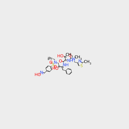 Cc1nc(CN(C)C(=O)N[C@H](C(=O)N[C@@H](Cc2ccccc2)[C@H](O)CN(CC(C)C)S(=O)(=O)c2ccc(/C=N/O)cc2)[C@@H](C)O)cs1